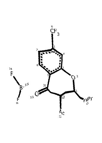 CCCC1Oc2cc(C(F)(F)F)ccc2C(=O)C1C(C)=O.F[B]F